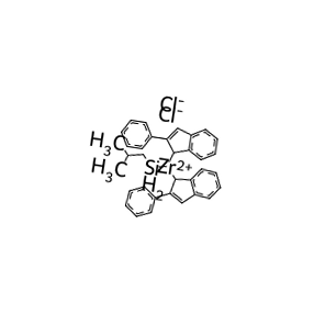 CC(C)C[SiH2][Zr+2]([CH]1C(c2ccccc2)=Cc2ccccc21)[CH]1C(c2ccccc2)=Cc2ccccc21.[Cl-].[Cl-]